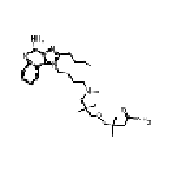 CCCCc1nc2c(N)nc3ccccc3c2n1CCCCN(C)CC(C)(C)COCC(C)(C)CC(N)=O